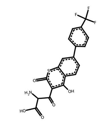 NC(C(=O)O)C(=O)c1c(O)c2ccc(-c3ccc(C(F)(F)F)cc3)cc2sc1=O